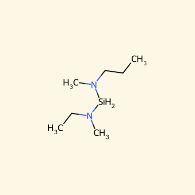 CCCN(C)[SiH2]N(C)CC